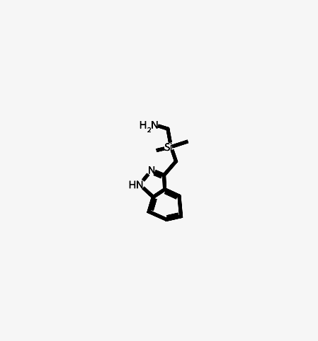 C[Si](C)(CN)Cc1n[nH]c2ccccc12